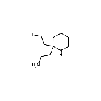 NCCC1(CCI)CCCCN1